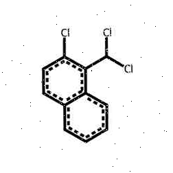 Clc1ccc2ccccc2c1C(Cl)Cl